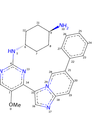 COc1cnc(N[C@H]2CC[C@H](N)CC2)nc1-c1cnc2ccc(-c3ccccc3)cn12